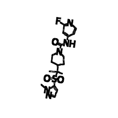 Cn1nccc1S(=O)(=O)C(C)(C)C1CCN(C(=O)Nc2ccnc(F)c2)CC1